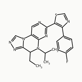 CCC1c2nncn2-c2cnc(-c3scnc3-c3ccc(F)cc3)nc2N1C(C)C